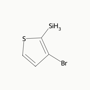 [SiH3]c1sccc1Br